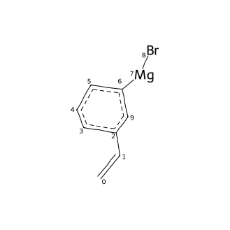 C=Cc1ccc[c]([Mg][Br])c1